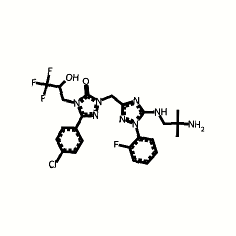 CC(C)(N)CNc1nc(Cn2nc(-c3ccc(Cl)cc3)n(CC(O)C(F)(F)F)c2=O)nn1-c1ccccc1F